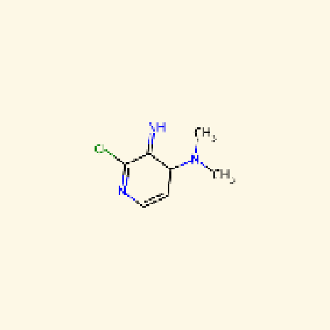 CN(C)C1C=CN=C(Cl)C1=N